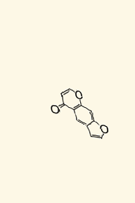 O=c1ccoc2cc3occc3cc12